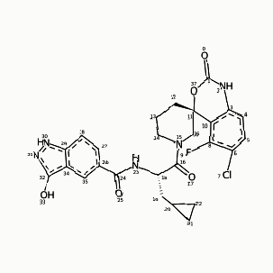 O=C1Nc2ccc(Cl)c(F)c2[C@@]2(CCCN(C(=O)[C@H](CC3CC3)NC(=O)c3ccc4[nH]nc(O)c4c3)C2)O1